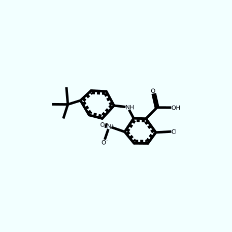 CC(C)(C)c1ccc(Nc2c([N+](=O)[O-])ccc(Cl)c2C(=O)O)cc1